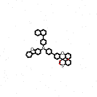 c1ccc2c(c1)Oc1cc(-c3ccc(N(c4ccc(-c5cccc6ccccc56)cc4)c4ccc5c(c4)oc4ccccc45)cc3)ccc1C21c2ccccc2Sc2ccccc21